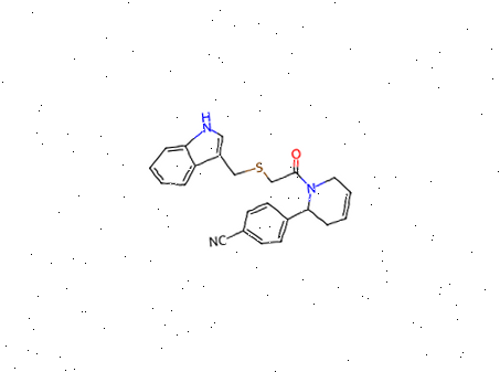 N#Cc1ccc(C2CC=CCN2C(=O)CSCc2c[nH]c3ccccc23)cc1